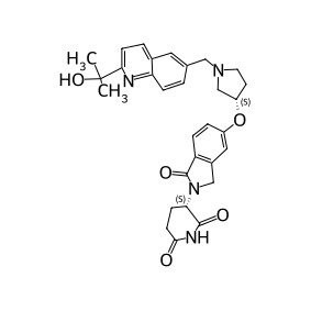 CC(C)(O)c1ccc2cc(CN3CC[C@H](Oc4ccc5c(c4)CN([C@H]4CCC(=O)NC4=O)C5=O)C3)ccc2n1